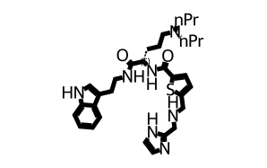 CCCN(CCC)CCC[C@H](NC(=O)c1ccc(CNCc2ncc[nH]2)s1)C(=O)NCCc1c[nH]c2ccccc12